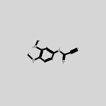 C#CC(=O)Oc1ccc(OC)c(OC)c1